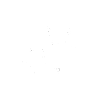 CCC(C)(C)C(=O)c1sccc1Cl